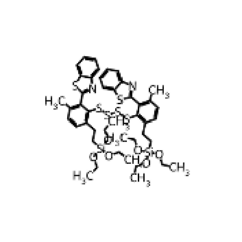 CCO[Si](CCc1ccc(C)c(-c2nc3ccccc3s2)c1SSSSc1c(CC[Si](OCC)(OCC)OCC)ccc(C)c1-c1nc2ccccc2s1)(OCC)OCC